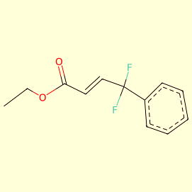 CCOC(=O)C=CC(F)(F)c1ccccc1